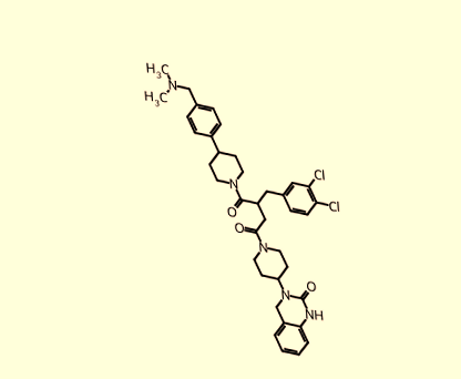 CN(C)Cc1ccc(C2CCN(C(=O)C(CC(=O)N3CCC(N4Cc5ccccc5NC4=O)CC3)Cc3ccc(Cl)c(Cl)c3)CC2)cc1